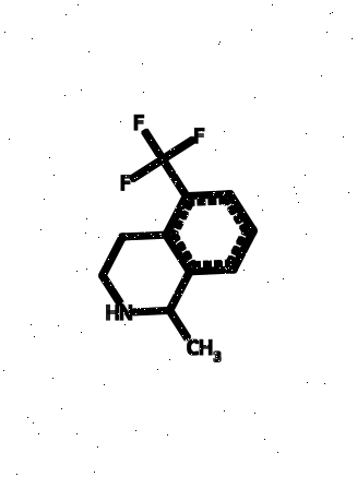 CC1NCCc2c1cccc2C(F)(F)F